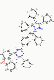 c1ccc(-c2nc(-c3ccc(-c4c(-c5ccccc5)n5nc(-c6ccccc6)c(-c6ccccc6)c5c5ccccc45)cc3)nc(-c3cccc4oc5ccccc5c34)n2)cc1